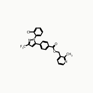 Cc1ncccc1COC(=O)c1ccc(-c2cc(C(F)(F)F)nn2-c2ccccc2Cl)cc1